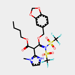 CCCCOC(=O)C(C(OCc1ccc2c(c1)OCO2)=[N+](S(=O)(=O)C(F)(F)F)S(=O)(=O)C(F)(F)F)c1[nH]cc[n+]1C